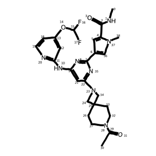 CNC(=O)c1cc(-c2nc(Nc3cc(OC(F)F)ccn3)cc(N3CC4(CCN(C(C)=O)CC4)C3)n2)cn1C